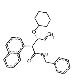 C=C[C@@H](OC1CCCCC1)[C@H](C(=O)NCc1ccccc1)c1cccc2ccccc12